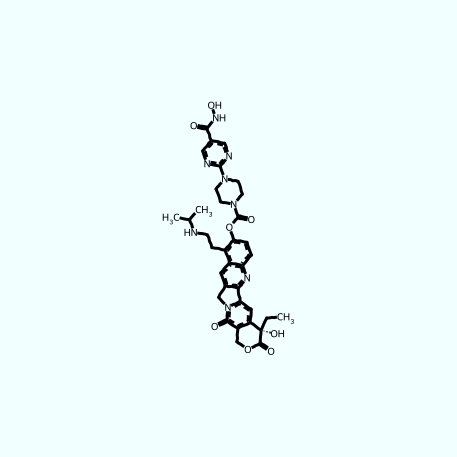 CC[C@@]1(O)C(=O)OCc2c1cc1n(c2=O)Cc2cc3c(CCNC(C)C)c(OC(=O)N4CCN(c5ncc(C(=O)NO)cn5)CC4)ccc3nc2-1